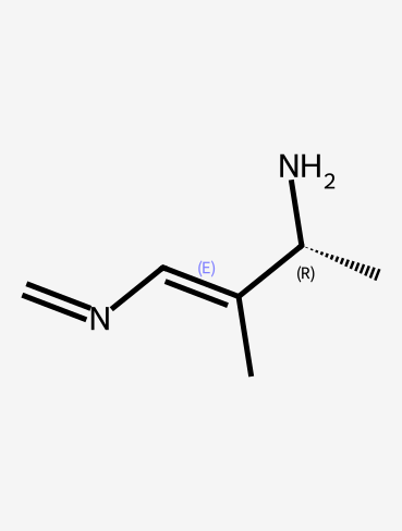 C=N/C=C(\C)[C@@H](C)N